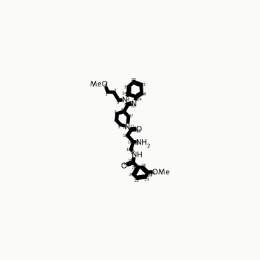 COCCCn1c(C2CCCN(C(=O)CC(N)CNC(=O)c3cccc(OC)c3)C2)nc2ccccc21